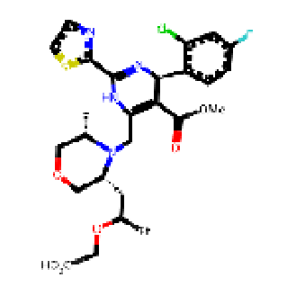 CCC(C[C@@H]1COC[C@H](C)N1CC1=C(C(=O)OC)[C@H](c2ccc(F)cc2Cl)N=C(c2nccs2)N1)OCC(=O)O